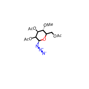 CO[C@@H]1C(COC(C)=O)O[C@@H](N=[N+]=[N-])C(OC(C)=O)[C@H]1OC(C)=O